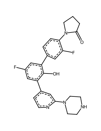 O=C1CCCN1c1ccc(-c2cc(F)cc(-c3ccnc(N4CCNCC4)c3)c2O)cc1F